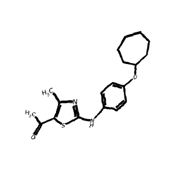 CC(=O)c1sc(Nc2ccc(OC3CCCCCC3)cc2)nc1C